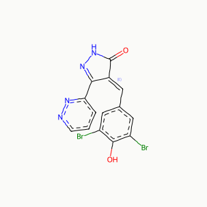 O=C1NN=C(c2cccnn2)/C1=C\c1cc(Br)c(O)c(Br)c1